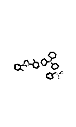 C1CCC(P(C2CCCCC2)C2CCCCC2)CC1.Cc1ccccc1N1[CH-]N(c2ccccc2C)CC1.[Cl][Ru]([Cl])=[CH]c1ccccc1